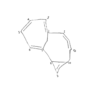 C1=Cc2ccccc2C2C=C12